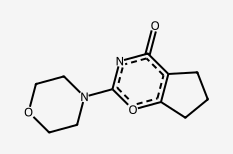 O=c1nc(N2CCOCC2)oc2c1CCC2